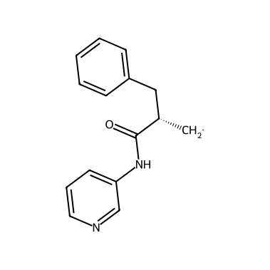 [CH2][C@@H](Cc1ccccc1)C(=O)Nc1cccnc1